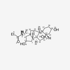 CCC(=O)N[C@H]1[C@H](O)C[C@H]2[C@@H]3CC[C@H]4C[C@@H](O)CC[C@]4(C)[C@H]3CC[C@@]21C